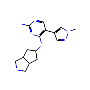 Cn1cc(-c2cnc(N)nc2NC2CC3CNCC3C2)cn1